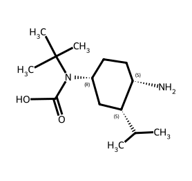 CC(C)[C@@H]1C[C@H](N(C(=O)O)C(C)(C)C)CC[C@@H]1N